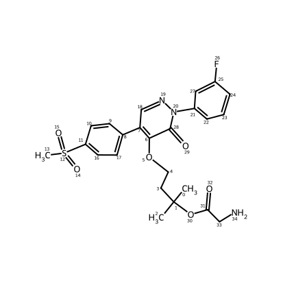 CC(C)(CCOc1c(-c2ccc(S(C)(=O)=O)cc2)cnn(-c2cccc(F)c2)c1=O)OC(=O)CN